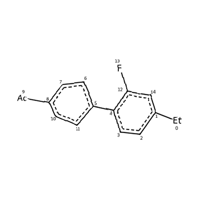 CCc1ccc(-c2ccc(C(C)=O)cc2)c(F)c1